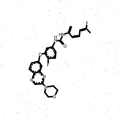 C=C(/C=C\C=C(/C)F)NC(=O)Nc1ccc(F)c(Oc2ccc3ncc(N4CCOCC4)nc3c2)c1